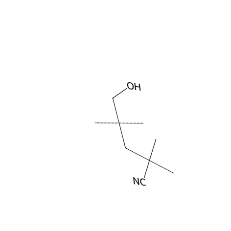 CC(C)(C#N)CC(C)(C)CO